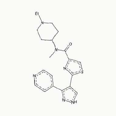 CCN1CCC(N(C)C(=O)c2csc(-c3c[nH]nc3-c3ccncc3)n2)CC1